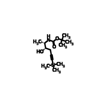 C[C@H](NC(=O)OC(C)(C)C)[C@@H](O)CC#C[Si](C)(C)C